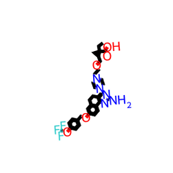 CCC1(C(=O)O)CC1COCCN1CCN(c2nc(N)nc3c2CCc2cc(OCc4ccc(OC(F)(F)F)cc4)ccc2-3)CC1